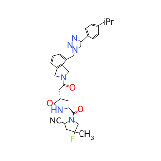 CC(C)c1ccc(-c2cn(Cc3cccc4c3CN(C(=O)C[C@@H]3C[C@@H](C(=O)N5CC(C)(F)C[C@H]5C#N)NC3=O)C4)nn2)cc1